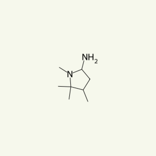 CC1CC(N)N(C)C1(C)C